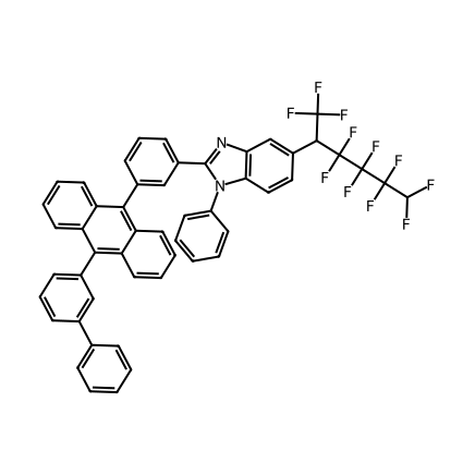 FC(F)C(F)(F)C(F)(F)C(F)(F)C(c1ccc2c(c1)nc(-c1cccc(-c3c4ccccc4c(-c4cccc(-c5ccccc5)c4)c4ccccc34)c1)n2-c1ccccc1)C(F)(F)F